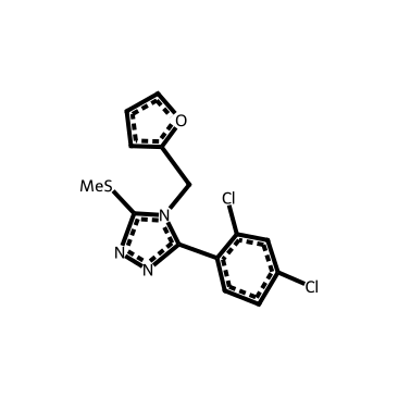 CSc1nnc(-c2ccc(Cl)cc2Cl)n1Cc1ccco1